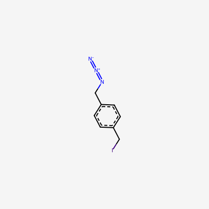 [N-]=[N+]=NCc1ccc(CI)cc1